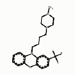 CN1CCN(CCCCN2c3ccccc3Sc3ccc(C(F)(I)I)cc32)CC1